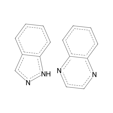 c1ccc2[nH]ncc2c1.c1ccc2nccnc2c1